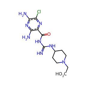 N=C(NC(=O)c1nc(Cl)c(N)nc1N)NC1CCN(CC(=O)O)CC1